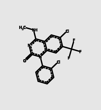 CNc1nc(=O)n(-c2ccccc2Cl)c2cc(C(F)(F)F)c(Cl)cc12